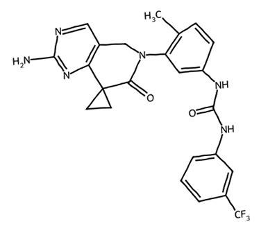 Cc1ccc(NC(=O)Nc2cccc(C(F)(F)F)c2)cc1N1Cc2cnc(N)nc2C2(CC2)C1=O